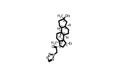 CC[C@@H]1C[C@H](C(=O)Cn2ncnn2)[C@@]2(C)CC[C@H]3[C@@H](CC[C@@H]4C[C@](C)(O)CC[C@@H]43)[C@H]12